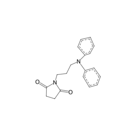 O=C1CCC(=O)N1CCCN(c1ccccc1)c1ccccc1